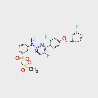 CS(=O)(=O)CS(=O)(=O)c1cccc(Nc2ncc(F)c(-c3ccc(OCc4cccc(F)c4)cc3F)n2)c1